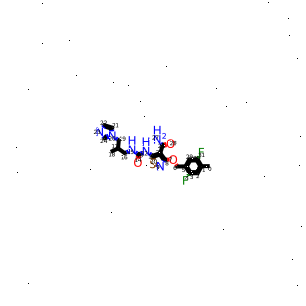 Cc1cc(F)c(COc2nsc(NC(=O)NCC(C)Cn3ccnc3)c2C(N)=O)cc1F